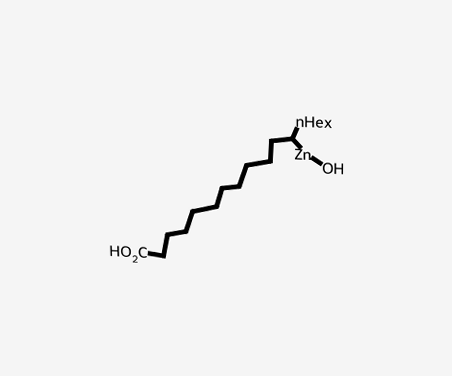 CCCCCC[CH](CCCCCCCCCCC(=O)O)[Zn][OH]